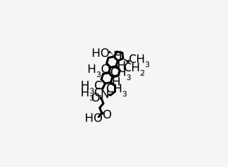 C=C(C)[C@@H]1CC[C@]2(CO)CC[C@]3(C)[C@H](CC[C@@H]4[C@@]5(C)CCCN(C(=O)CCC(=O)O)C(C)(C)C5CC[C@]43C)[C@@H]12